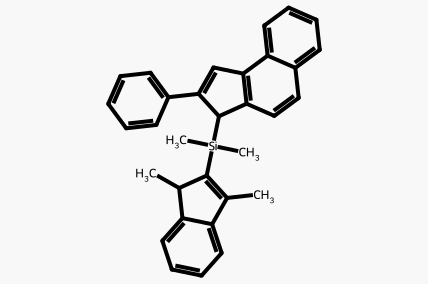 CC1=C([Si](C)(C)C2C(c3ccccc3)=Cc3c2ccc2ccccc32)C(C)c2ccccc21